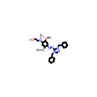 CCOc1cc(/N=N/c2n(Cc3ccccc3)nc[n+]2Cc2ccccc2)c(NC(C)=O)cc1N(C)CCO